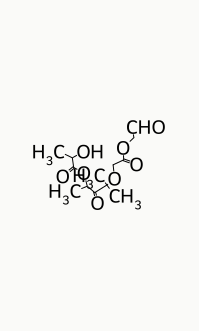 CC(O)C(=O)OC(C)C(=O)C(C)(C)OCC(=O)OCC=O